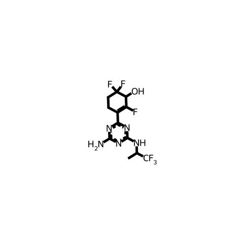 CC(Nc1nc(N)nc(C2=C(F)C(O)C(F)(F)CC2)n1)C(F)(F)F